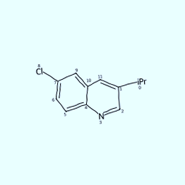 CC(C)c1cnc2ccc(Cl)cc2c1